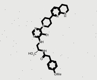 CCc1c(NC[C@H](NC(=O)Cc2ccc(OC)cc2)C(=O)O)ncnc1N1CCC(c2ccc3c(n2)NCCC3)CC1